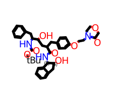 CC(C)(C)OC(=O)NC(Cc1ccccc1)C(O)CC(Cc1ccc(OCCN2CCOCC2=O)cc1)C(=O)N[C@H]1c2ccccc2C[C@@H]1O